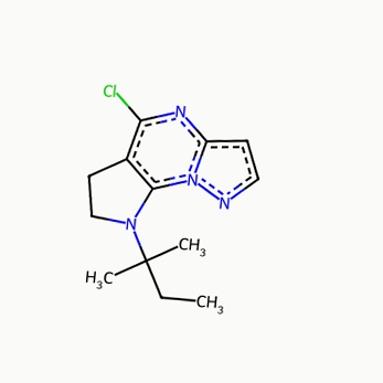 CCC(C)(C)N1CCc2c(Cl)nc3ccnn3c21